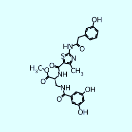 COC(=O)[C@H](CNC(=O)c1cc(O)cc(O)c1)NC(=O)c1sc(NC(=O)Cc2cccc(O)c2)nc1C